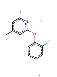 Cc1ccnc(Oc2ccccc2Cl)c1